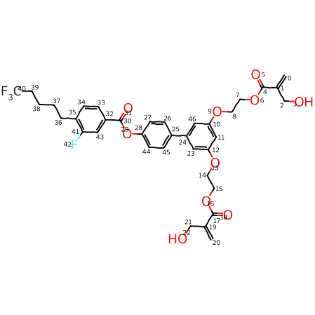 C=C(CO)C(=O)OCCOc1cc(OCCOC(=O)C(=C)CO)cc(-c2ccc(OC(=O)c3ccc(CCCCC(F)(F)F)c(F)c3)cc2)c1